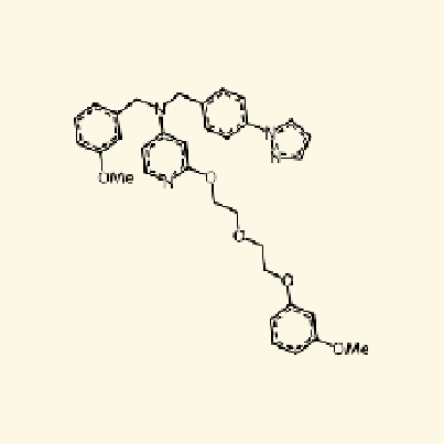 COc1cccc(CN(Cc2ccc(-n3cccn3)cc2)c2ccnc(OCCOCCOc3cccc(OC)c3)c2)c1